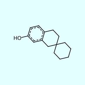 Oc1ccc2c(c1)CC1(CCCCC1)CC2